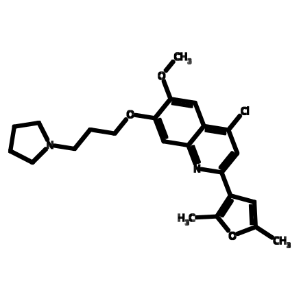 COc1cc2c(Cl)cc(-c3cc(C)oc3C)nc2cc1OCCCN1CCCC1